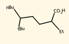 CCCCC(CCC(CC)C(=O)O)C(C)(C)C